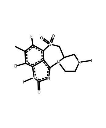 Cc1c(F)c2c3c(nc(=O)n(I)c3c1Cl)N1CCN(I)CC1CS2(=O)=O